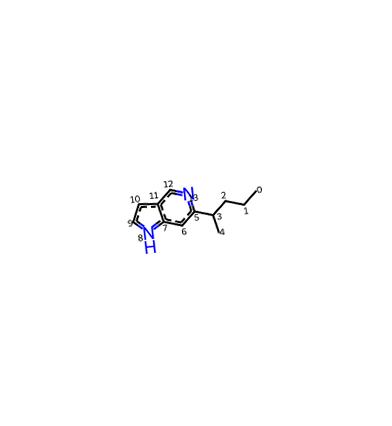 CCCC(C)c1cc2[nH]ccc2cn1